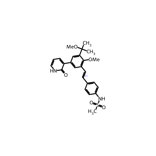 COc1c(/C=C/c2ccc(NS(C)(=O)=O)cc2)cc(-c2ccc[nH]c2=O)cc1C(C)(C)OC